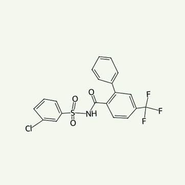 O=C(NS(=O)(=O)c1cccc(Cl)c1)c1ccc(C(F)(F)F)cc1-c1ccccc1